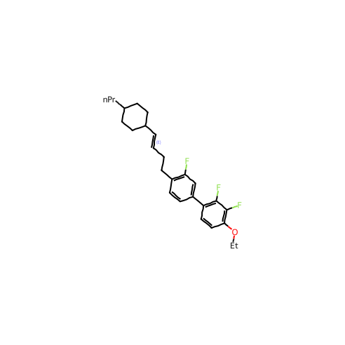 CCCC1CCC(/C=C/CCc2ccc(-c3ccc(OCC)c(F)c3F)cc2F)CC1